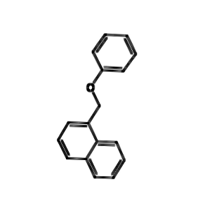 c1ccc(OCc2cccc3ccccc23)cc1